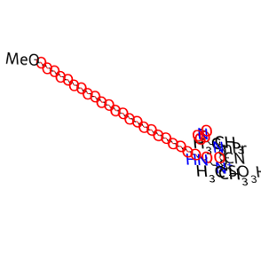 CCCC1=CC(C)(C)N(CCCCCC(=O)ON2C(=O)CCC2=O)c2cc3c(cc21)C(C#N)=c1cc2c(cc1O3)=[N+](CCCCCC(=O)NCCOCCOCCOCCOCCOCCOCCOCCOCCOCCOCCOCCOCCOCCOCCOCCOCCOCCOCCOCCOCCOCCOCCOCCOC)C(C)(C)C=C2CS(=O)(=O)O